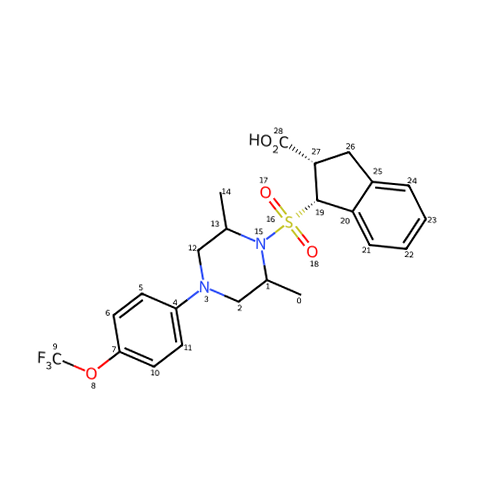 CC1CN(c2ccc(OC(F)(F)F)cc2)CC(C)N1S(=O)(=O)[C@H]1c2ccccc2C[C@H]1C(=O)O